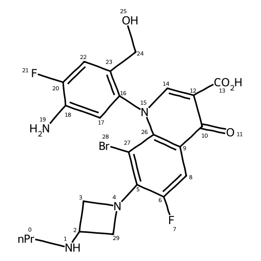 CCCNC1CN(c2c(F)cc3c(=O)c(C(=O)O)cn(-c4cc(N)c(F)cc4CO)c3c2Br)C1